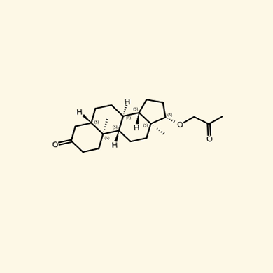 CC(=O)CO[C@H]1CC[C@H]2[C@@H]3CC[C@H]4CC(=O)CC[C@]4(C)[C@H]3CC[C@]12C